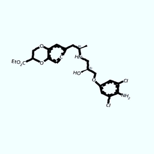 CCOC(=O)C1COc2cc(C[C@@H](C)NC[C@H](O)COc3cc(Cl)c(N)c(Cl)c3)ccc2O1